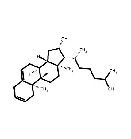 CC(C)CCC[C@@H](C)[C@H]1[C@@H](O)C[C@H]2[C@@H]3CC=C4CC=CC[C@]4(C)[C@H]3CC[C@]12C